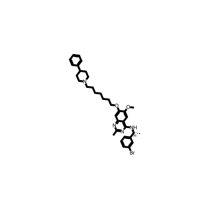 COc1cc2c(N[C@H](C)c3cccc(Br)c3)nc(C)nc2cc1OCCCCCCCN1CCC(c2ccccc2)CC1